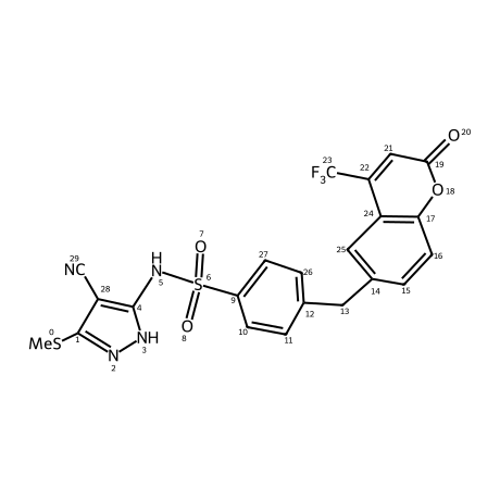 CSc1n[nH]c(NS(=O)(=O)c2ccc(Cc3ccc4oc(=O)cc(C(F)(F)F)c4c3)cc2)c1C#N